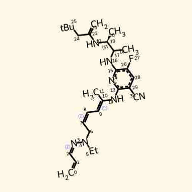 C=C/C=N\N(CC)C/C=C\C=C(/C)Nc1nc(NC(C)[C@H](C)NC(=C)CC(C)(C)C)c(F)cc1C#N